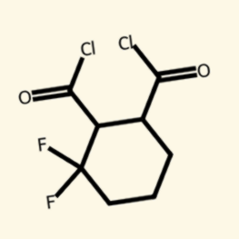 O=C(Cl)C1CCCC(F)(F)C1C(=O)Cl